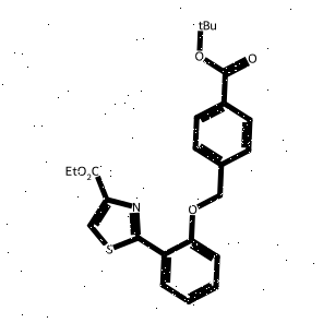 CCOC(=O)c1csc(-c2ccccc2OCc2ccc(C(=O)OC(C)(C)C)cc2)n1